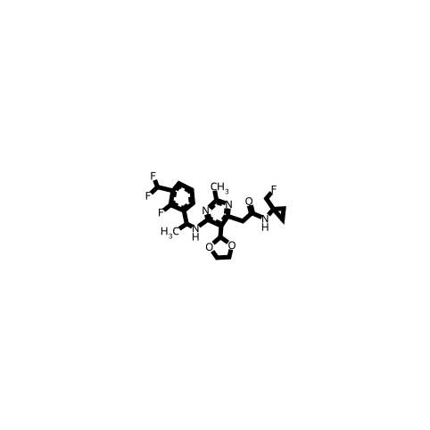 Cc1nc(CC(=O)NC2(CF)CC2)c(C2OCCO2)c(NC(C)c2cccc(C(F)F)c2F)n1